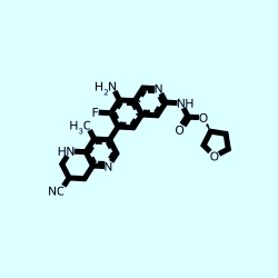 Cc1c(-c2cc3cc(NC(=O)O[C@@H]4CCOC4)ncc3c(N)c2F)cnc2c1NCC(C#N)C2